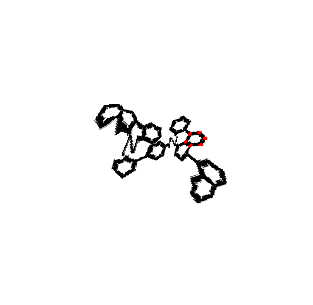 c1ccc(-c2ccccc2N(c2ccc(-c3ccccc3-n3c4ccccc4c4cc5ccccc5cc43)cc2)c2ccc(-c3cccc4ccccc34)c3ccccc23)cc1